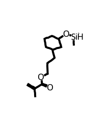 C=C(C)C(=O)OCCCC1CCCC(O[SiH](C)C)C1